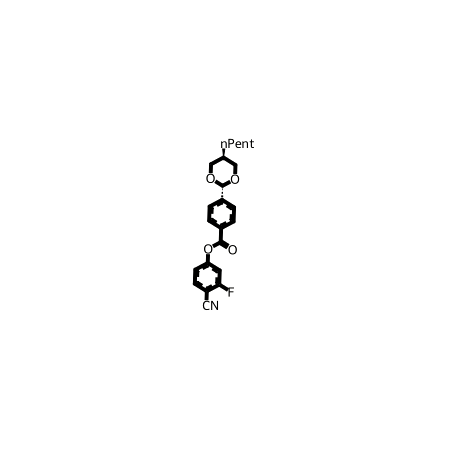 CCCCC[C@H]1CO[C@H](c2ccc(C(=O)Oc3ccc(C#N)c(F)c3)cc2)OC1